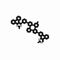 Cc1ccc2c(c1)-c1ccc(-c3cccc(-c4nc(C)nc5c6ccccc6c6ccccc6c45)c3)cc1-c1ccccc1-c1ccc(-c3ccc4c5ccccc5c5cnc(C)nc5c4c3)cc1-2